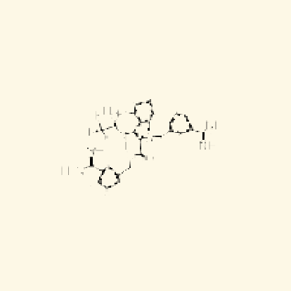 Cc1cccc2c1c(NC(=O)C(F)(F)F)c(C(=O)OCc1cccc(C(=N)N)c1)n2Cc1cccc(C(=N)N)c1